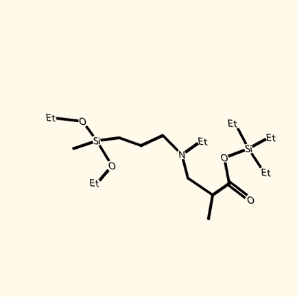 CCO[Si](C)(CCCN(CC)CC(C)C(=O)O[Si](CC)(CC)CC)OCC